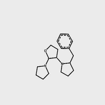 c1ccc(CC2CCCN2C2CCO[C]2N2CCCC2)cc1